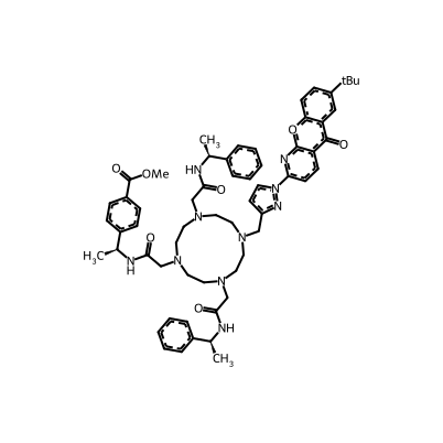 COC(=O)c1ccc([C@H](C)NC(=O)CN2CCN(CC(=O)N[C@@H](C)c3ccccc3)CCN(Cc3ccn(-c4ccc5c(=O)c6cc(C(C)(C)C)ccc6oc5n4)n3)CCN(CC(=O)N[C@@H](C)c3ccccc3)CC2)cc1